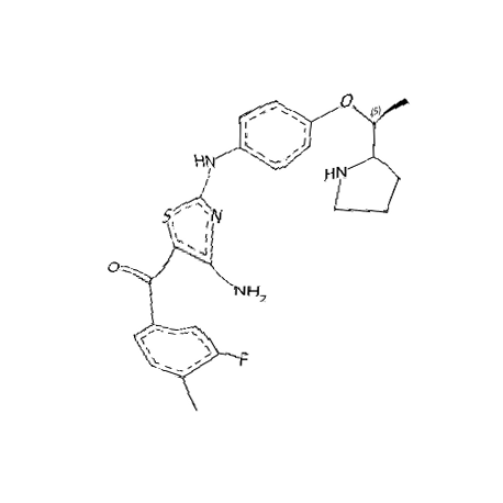 Cc1ccc(C(=O)c2sc(Nc3ccc(O[C@@H](C)C4CCCN4)cc3)nc2N)cc1F